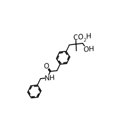 CC(CO)(Cc1ccc(CC(=O)NCc2ccccc2)cc1)C(=O)O